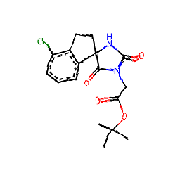 CC(C)(C)OC(=O)CN1C(=O)NC2(CCc3c(Cl)cccc32)C1=O